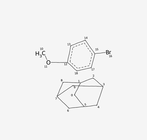 C1C2CC3CC1CC(C2)C3.COc1ccc(Br)cc1